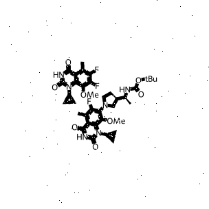 COc1c(F)c(F)c(C)c2c(=O)[nH]c(=O)n(C3CC3)c12.COc1c(N2CC[C@@H]([C@H](C)NC(=O)OC(C)(C)C)C2)c(F)c(C)c2c(=O)[nH]c(=O)n(C3CC3)c12